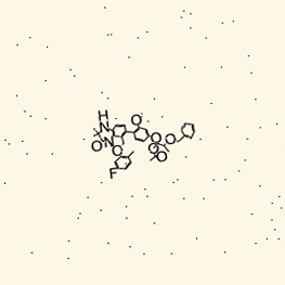 COc1cc(OC(OC(C)=O)C(C)OCc2ccccc2)ccc1-c1ccc2c(c1COc1cc(F)ccc1C)N(C)C(=O)C(C)(C)N2